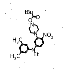 CCN(c1cc(C)cc(C)c1)c1ccc([N+](=O)[O-])c(N2CCN(OC(=O)C(C)(C)C)CC2)c1